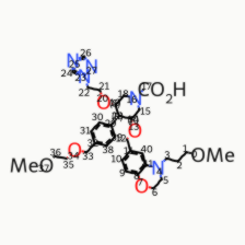 COCCCN1CCOc2ccc(CO[C@H]3CN(C(=O)O)C[C@@H](OCCn4cncn4)[C@@H]3c3ccc(COCCOC)cc3)cc21